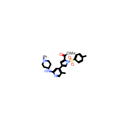 COC(=O)c1cc(-c2cc(NC3CCN(C(C)C)CC3)ncc2C)cn1S(=O)(=O)c1ccc(C)cc1